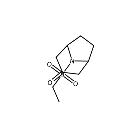 CCS(=O)(=O)N1C2CCC1CC(=O)C2